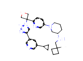 FC(F)(F)C1(CN[C@@H]2CCCN(c3ccc(C4(n5cc(-c6cncc(C7CC7)c6)nn5)COC4)nc3)C2)CCC1